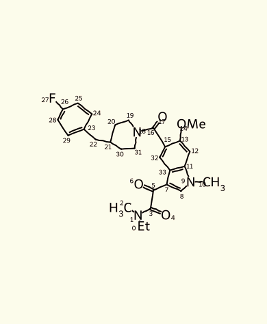 CCN(C)C(=O)C(=O)c1cn(C)c2cc(OC)c(C(=O)N3CCC(Cc4ccc(F)cc4)CC3)cc12